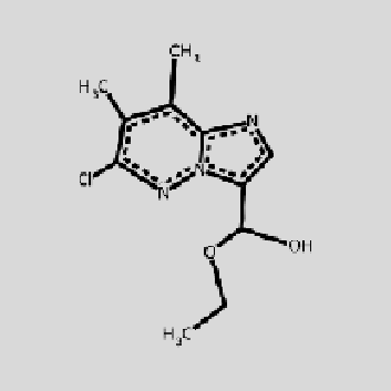 CCOC(O)c1cnc2c(C)c(C)c(Cl)nn12